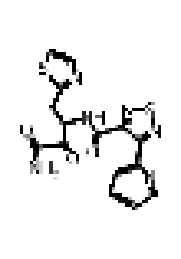 NC(=O)C(=O)C(Cc1nccs1)NC(=O)c1nsnc1-c1ccccn1